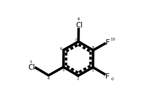 Fc1cc(CCl)cc(Cl)c1F